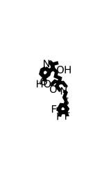 COc1ccc2ncc(C)c([C@H](O)CCC3(CC(=O)O)CCN(CCSc4cc(F)c(F)c(F)c4)CC3)c2c1